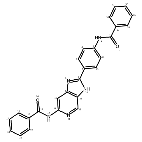 O=C(Nc1ccc(-c2nc3cc(NC(=O)c4ccccc4)ncc3[nH]2)cc1)c1ccccc1